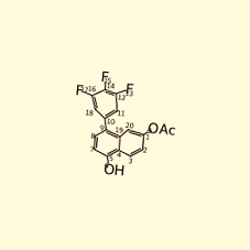 CC(=O)Oc1ccc2c(O)ccc(-c3cc(F)c(F)c(F)c3)c2c1